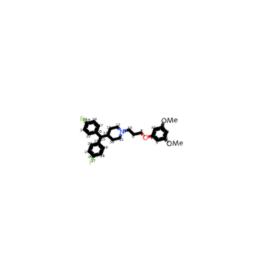 COc1cc(OC)cc(OCCCN2CCC(C(c3ccc(F)cc3)c3ccc(F)cc3)CC2)c1